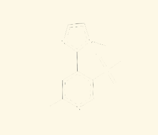 Cn1ccnc1-c1cc(C(F)(F)F)ncc1S(C)(=O)=O